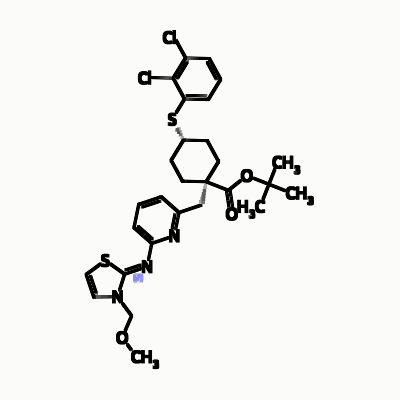 COCn1ccs/c1=N\c1cccc(C[C@]2(C(=O)OC(C)(C)C)CC[C@H](Sc3cccc(Cl)c3Cl)CC2)n1